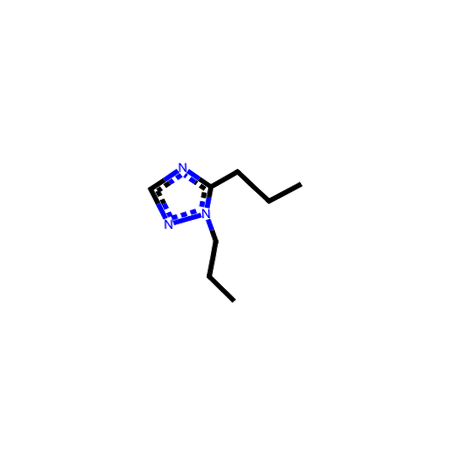 CCCc1ncnn1CCC